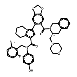 O=C(c1cc(-c2cc3c(cc2C(=O)N2Cc4ccccc4C[C@H]2CN2CCOCC2)OCO3)n2c1CCCC2)N(Cc1c(F)cccc1C(F)(F)F)c1ccc(O)cc1